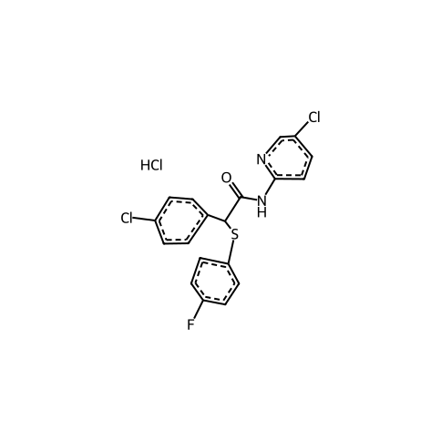 Cl.O=C(Nc1ccc(Cl)cn1)C(Sc1ccc(F)cc1)c1ccc(Cl)cc1